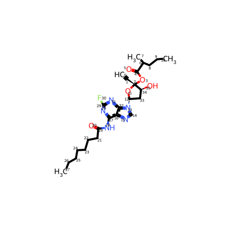 C#C[C@]1(OC(=O)C(C)CCC)O[C@@H](n2cnc3c(NC(=O)CCCCCCC)nc(F)nc32)C[C@@H]1O